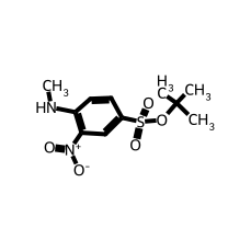 CNc1ccc(S(=O)(=O)OC(C)(C)C)cc1[N+](=O)[O-]